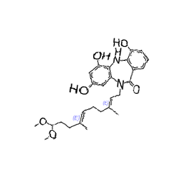 COC(CC/C(C)=C/CC/C(C)=C/CN1C(=O)c2cccc(O)c2Nc2c(O)cc(O)cc21)OC